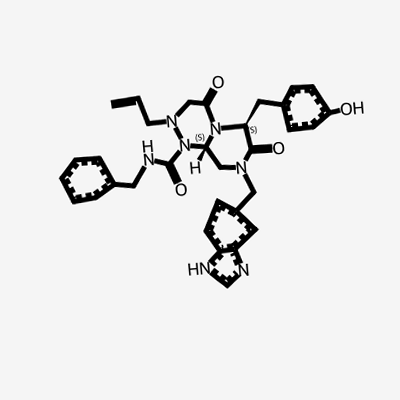 C=CCN1CC(=O)N2[C@@H](Cc3ccc(O)cc3)C(=O)N(Cc3ccc4[nH]cnc4c3)C[C@@H]2N1C(=O)NCc1ccccc1